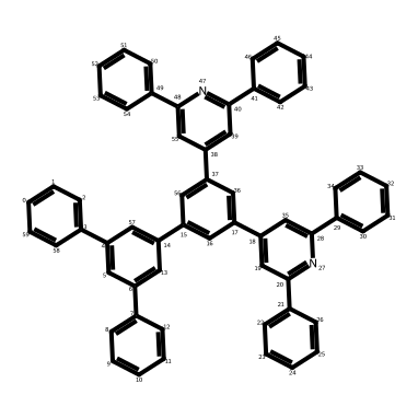 c1ccc(-c2cc(-c3ccccc3)cc(-c3cc(-c4cc(-c5ccccc5)nc(-c5ccccc5)c4)cc(-c4cc(-c5ccccc5)nc(-c5ccccc5)c4)c3)c2)cc1